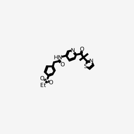 CCS(=O)(=O)c1ccc(CC(=O)Nc2ccc(C(=O)C(C)(C)c3nccs3)nc2)cc1